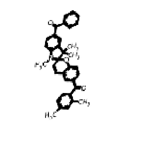 Cc1ccc(C(=O)c2ccc3c(c2)C=CC2(O3)N(C)c3ccc(C(=O)c4ccccc4)cc3C2(C)C)c(C)c1